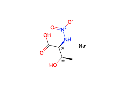 C[C@@H](O)[C@H](N[N+](=O)[O-])C(=O)O.[Na]